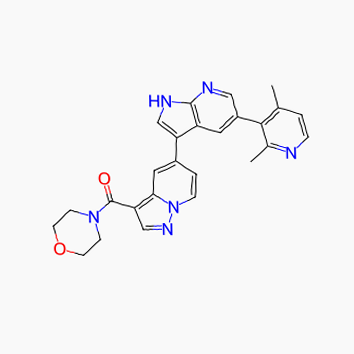 Cc1ccnc(C)c1-c1cnc2[nH]cc(-c3ccn4ncc(C(=O)N5CCOCC5)c4c3)c2c1